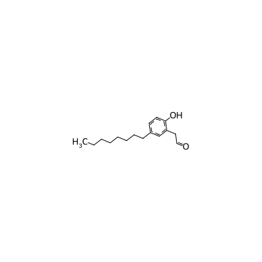 CCCCCCCCc1ccc(O)c(CC=O)c1